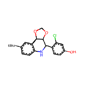 CC(C)(C)c1ccc2c(c1)C1OCOC1C(c1ccc(O)cc1Cl)N2